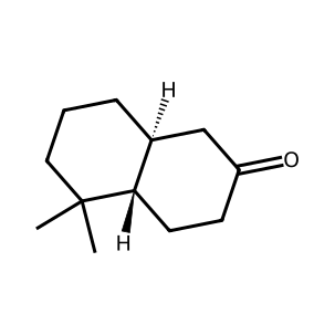 CC1(C)CCC[C@H]2CC(=O)CC[C@@H]21